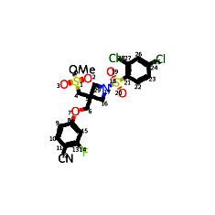 COS(=O)(=O)CC1(COc2ccc(C#N)c(F)c2)CN(S(=O)(=O)c2ccc(Cl)cc2Cl)C1